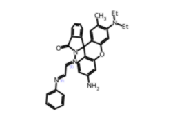 CCN(CC)c1cc2c(cc1C)C1(c3ccc(N)cc3O2)c2ccccc2C(=O)N1/N=C/C=N/c1ccccc1